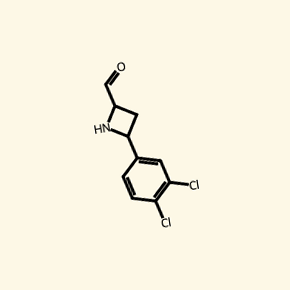 O=CC1CC(c2ccc(Cl)c(Cl)c2)N1